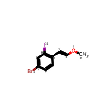 CO/C=C/c1ccc(Br)cc1I